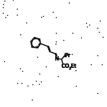 CCOC(=O)C(/N=C/C=C/c1ccccc1)C(C)C